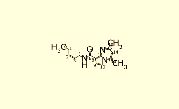 CC/C=C\CNC(=O)c1ccn2c(C)cc(C)nc12